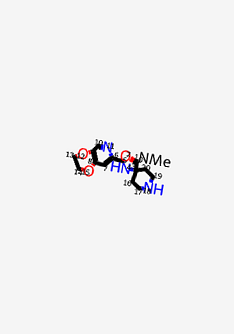 CNC(=O)C1(NCc2cc3c(cn2)OCCO3)CCNCC1